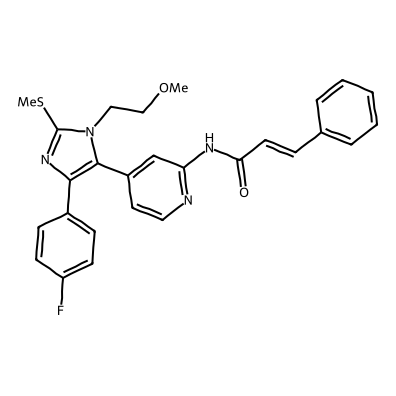 COCCn1c(SC)nc(-c2ccc(F)cc2)c1-c1ccnc(NC(=O)C=Cc2ccccc2)c1